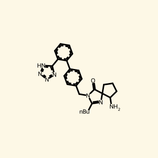 CCCCC1=NC2(CCCC2N)C(=O)N1Cc1ccc(-c2ccccc2-c2nnn[nH]2)cc1